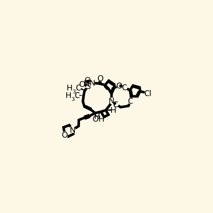 C[C@@H]1[C@@H](C)C/C=C/[C@@](O)(C#CCCN2CCOCC2)[C@@H]2CC[C@H]2CN2CCCCc3cc(Cl)ccc3COc3ccc(cc32)C(=O)NS1(=O)=O